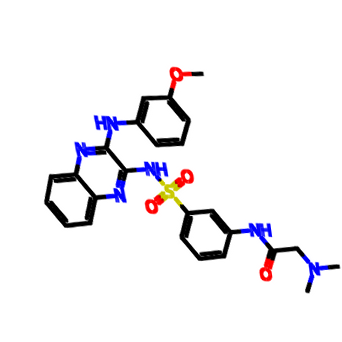 COc1cccc(Nc2nc3ccccc3nc2NS(=O)(=O)c2cccc(NC(=O)CN(C)C)c2)c1